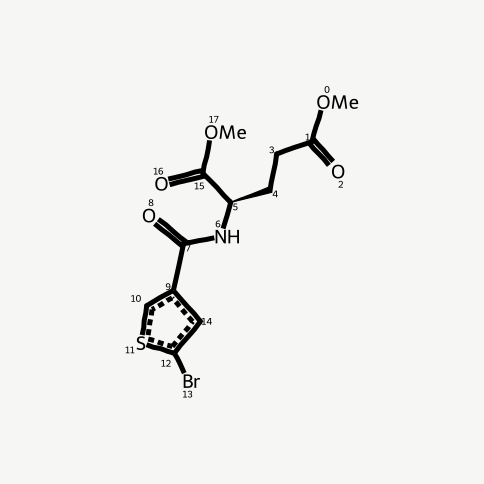 COC(=O)CC[C@@H](NC(=O)c1csc(Br)c1)C(=O)OC